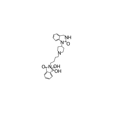 O=C1NCc2ccccc2N1C1CCN(CCCCN2C(=O)c3ccccc3S2(O)O)CC1